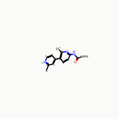 CCc1nc(NC(=O)NC)ccc1-c1ccnc(C)c1